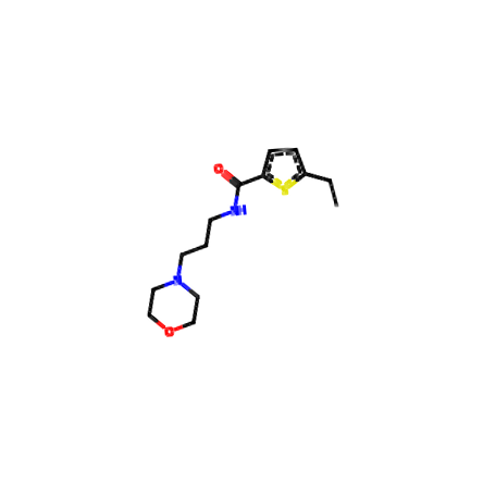 CCc1ccc(C(=O)NCCCN2CCOCC2)s1